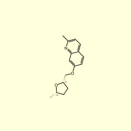 Cc1ccc2ccc(OC[C@@H]3CC[C@H](C)O3)cc2n1